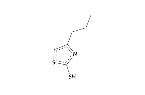 CCCc1csc(S)n1